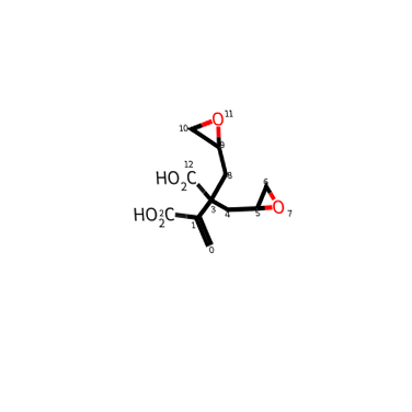 C=C(C(=O)O)C(CC1CO1)(CC1CO1)C(=O)O